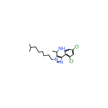 CC(C)CCCCCCn1cnc(-c2ccc(Cl)cc2Cl)c1C(C)N